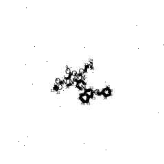 COC(=O)C1CN(C(=O)OC(C)(C)C)CCN1c1nc(OCCN(C)C)nc2c1CCN(c1cc(OCc3ccccc3)cc3ccccc13)C2